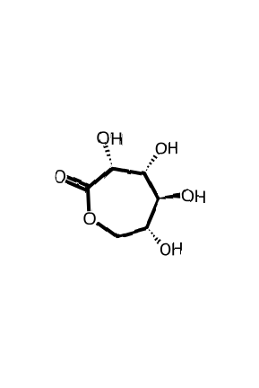 O=C1OC[C@@H](O)[C@H](O)[C@@H](O)[C@H]1O